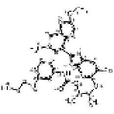 COc1cnc2c(-c3nc4cc(F)c(O[C@@H](C)[C@@H](C)OC(=O)Nc5ccnc(OCCO)c5)nc4s3)cc(C)cc2n1